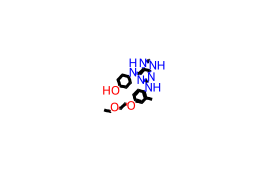 CCOCCOc1ccc(Nc2nc(NC3CCC(O)CC3)c3nc[nH]c3n2)c(C)c1